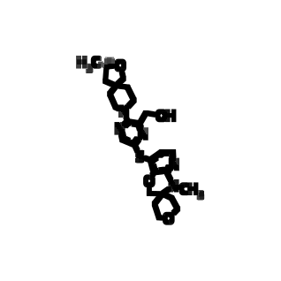 C[C@H]1CC2(CCN(c3ncc(Sc4ccnc5c4OCC4(CCOCC4)N5C)nc3CO)CC2)CO1